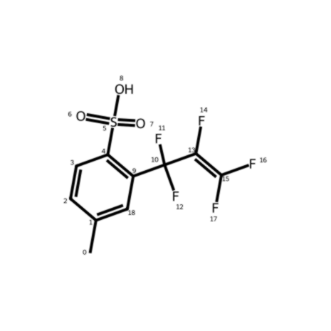 Cc1ccc(S(=O)(=O)O)c(C(F)(F)C(F)=C(F)F)c1